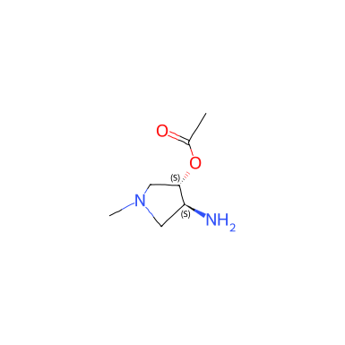 CC(=O)O[C@H]1CN(C)C[C@@H]1N